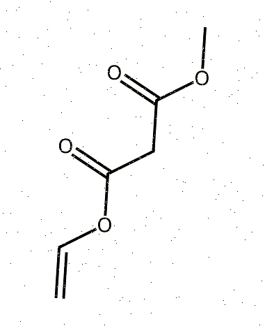 C=COC(=O)CC(=O)OC